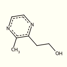 Cc1nccnc1CCO